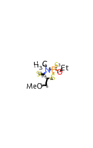 CCOP(=S)(SCCOC)N(C)C=S